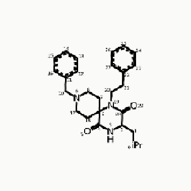 CC(C)CC1NC(=O)C2(CCN(Cc3ccccc3)CC2)N(CCc2ccccc2)C1=O